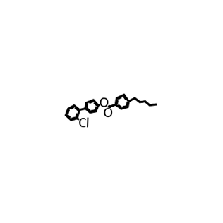 CCCCCc1ccc(C(=O)Oc2ccc(-c3ccccc3Cl)cc2)cc1